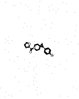 O=C([C@H]1CCCO1)N1CCC2(CC1)C[C@H]2c1ccc(Br)cc1